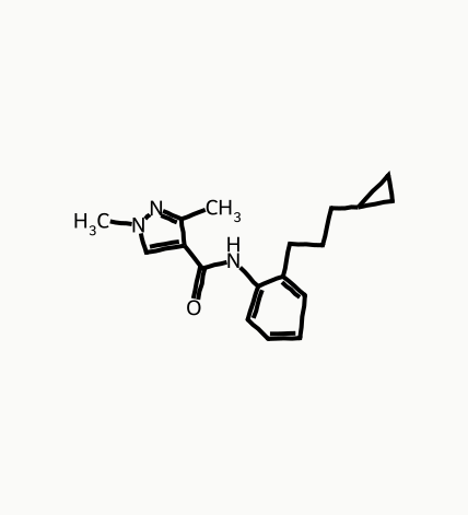 Cc1nn(C)cc1C(=O)Nc1ccccc1CCCC1CC1